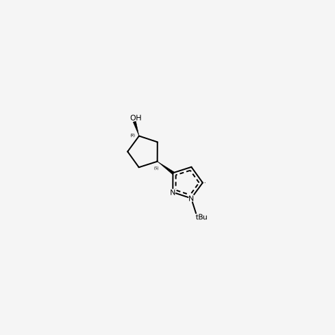 CC(C)(C)n1[c]cc([C@H]2CC[C@@H](O)C2)n1